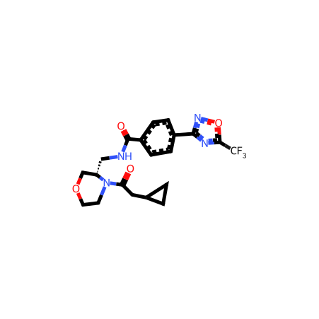 O=C(NC[C@H]1COCCN1C(=O)CC1CC1)c1ccc(-c2noc(C(F)(F)F)n2)cc1